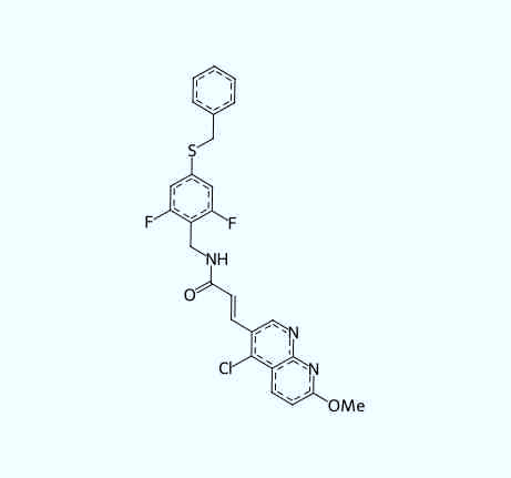 COc1ccc2c(Cl)c(C=CC(=O)NCc3c(F)cc(SCc4ccccc4)cc3F)cnc2n1